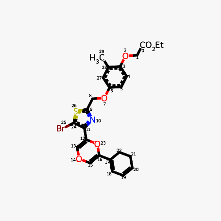 CCOC(=O)COc1ccc(OCc2nc(C3=COC=C(C4=CC=CCC4)O3)c(Br)s2)cc1C